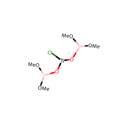 COB(OC)[O][Ti]([Cl])[O]B(OC)OC